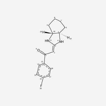 O=C(C=C1N[C@@H]2CCCC[C@H]2N1)c1ccc(F)cc1